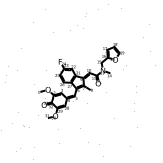 COC1=CC(=CC2=C(C)/C(=C\C(=O)N(C)Cc3ccco3)c3cc(F)ccc32)C=C(OC)C1=O